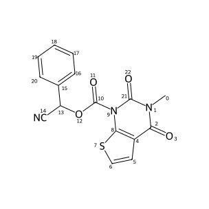 Cn1c(=O)c2ccsc2n(C(=O)OC(C#N)c2ccccc2)c1=O